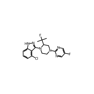 CC(C)(F)C1CN(c2ncc(F)cn2)CCN1c1n[nH]c2cccc(Cl)c12